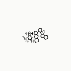 [2H]c1c([2H])c([2H])c(-c2c3ccccc3c(-c3cc4ccccc4c4oc5ccccc5c34)c3ccccc23)c([2H])c1[2H]